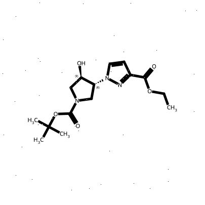 CCOC(=O)c1ccn([C@@H]2CN(C(=O)OC(C)(C)C)C[C@H]2O)n1